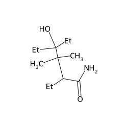 CCC(C(N)=O)C(C)(C)C(O)(CC)CC